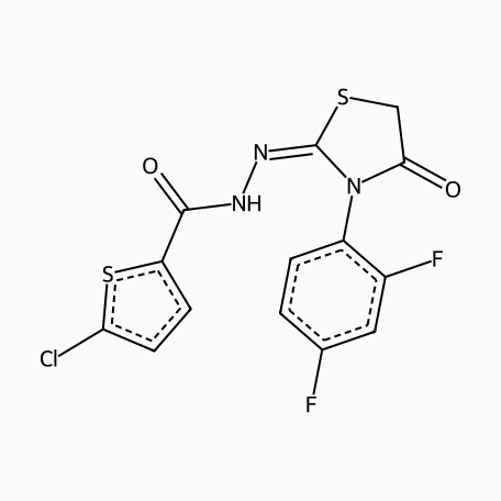 O=C(N/N=C1/SCC(=O)N1c1ccc(F)cc1F)c1ccc(Cl)s1